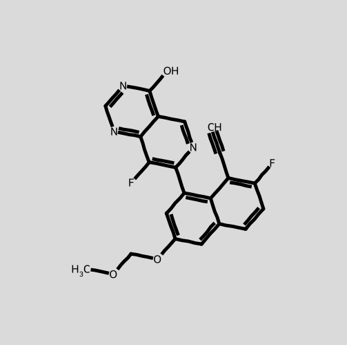 C#Cc1c(F)ccc2cc(OCOC)cc(-c3ncc4c(O)ncnc4c3F)c12